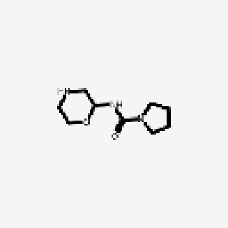 O=C(NC1CNCCO1)N1CCCC1